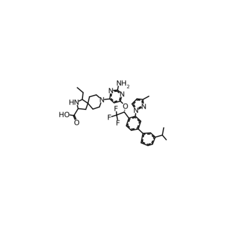 CCC1NC(C(=O)O)CC12CCN(c1cc(O[C@H](c3ccc(-c4cccc(C(C)C)c4)cc3-n3ccc(C)n3)C(F)(F)F)nc(N)n1)CC2